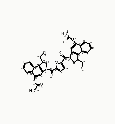 CC(=O)Oc1cc2c(c3ccccc13)C(CCl)CN2C(=O)c1ccc(C(=O)N2CC(CCl)c3c2cc(OC(C)=O)c2ccccc32)s1